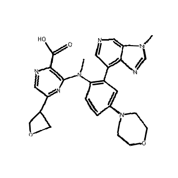 CN(c1ccc(N2CCOCC2)cc1-c1cncc2c1ncn2C)c1nc(C2COC2)cnc1C(=O)O